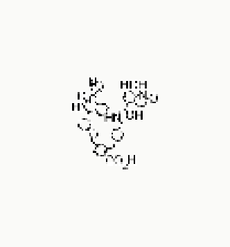 O=C(NC(c1ccccc1)c1cccc(OCc2ccc(C(=O)O)c(Cc3ccc(CNCC(O)c4ccc(O)c5[nH]c(=O)ccc45)cc3)c2)c1)OC1CN2CCC1CC2